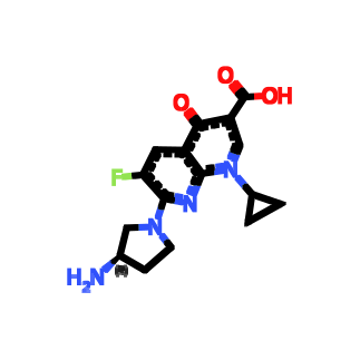 N[C@@H]1CCN(c2nc3c(cc2F)c(=O)c(C(=O)O)cn3C2CC2)C1